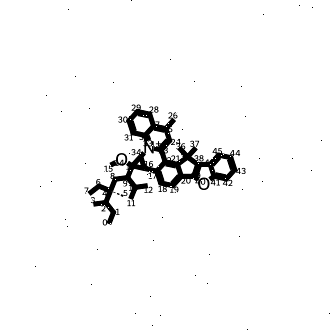 CCC(C)[C@@](C)(CC)CC(C(C)C)C1(OC)C2c3ccc4c(c3-c3cc(C)c5ccccc5[n+]3C21)C(C)(C)c1c-4oc2ccccc12